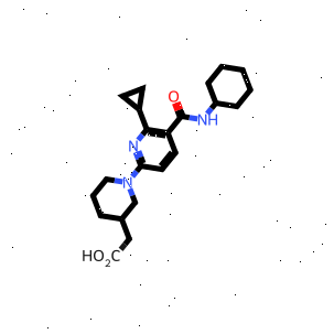 O=C(O)CC1CCCN(c2ccc(C(=O)NC3CCCCC3)c(C3CC3)n2)C1